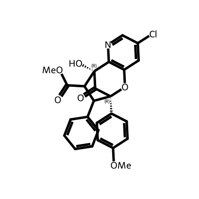 COC(=O)C1C(c2ccccc2)[C@]2(c3ccc(OC)cc3)Oc3cc(Cl)cnc3[C@@]1(O)C2=O